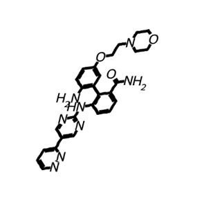 NC(=O)c1cccc(Nc2ncc(-c3cccnn3)cn2)c1-c1cc(OCCN2CCOCC2)ccc1N